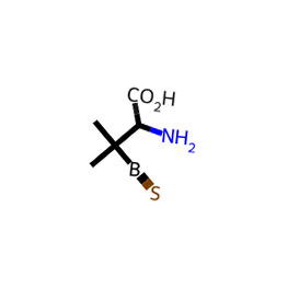 CC(C)(B=S)C(N)C(=O)O